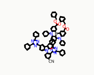 N#Cc1ccc(-n2c3ccc(-c4cc5c6c(c4)N(c4ccccc4)c4ccc(C(=O)OCc7ccccc7)cc4B6c4cc(C(=O)OCc6ccccc6)ccc4N5c4ccccc4)cc3c3cc(-c4nc(-c5ccccc5)nc(-c5ccccc5)n4)ccc32)c(-c2nc(-c3ccccc3)nc(-c3ccccc3)n2)c1